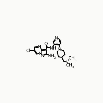 CN(C)CC1CCN(c2ccncc2NC(=O)c2c(N)nn3cc(Cl)cnc23)CC1